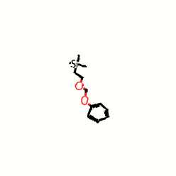 C[Si](C)(C)CCOCOc1ccccc1